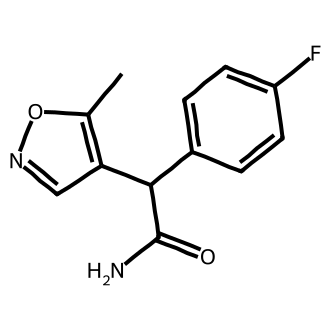 Cc1oncc1C(C(N)=O)c1ccc(F)cc1